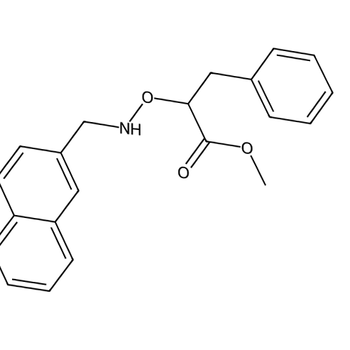 COC(=O)C(Cc1ccccc1)ONCc1ccc2ccccc2c1